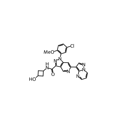 COc1ccc(Cl)cc1-n1nc(C(=O)NC2CC(O)C2)c2cnc(-c3cnn4cccnc34)cc21